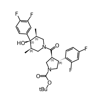 C[C@@H]1CN(C(=O)[C@@H]2CN(C(=O)OC(C)(C)C)C[C@H]2c2ccc(F)cc2F)C[C@H](C)[C@@]1(O)c1ccc(F)c(F)c1